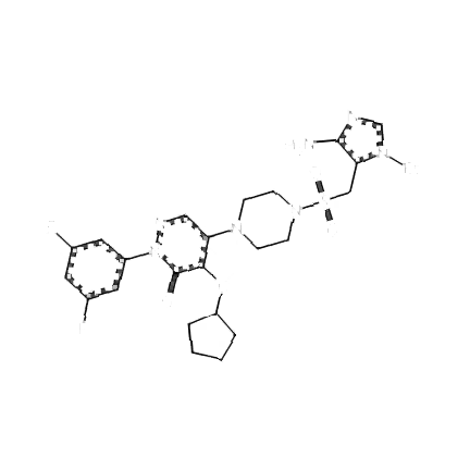 CCn1cnc(N)c1CS(=O)(=O)N1CCN(c2cnn(-c3cc(F)cc(F)c3)c(=O)c2OC2CCCC2)CC1